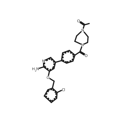 CC(=O)N1CCN(C(=O)c2ccc(-c3cnc(N)c(OCc4ccccc4Cl)c3)cc2)CC1